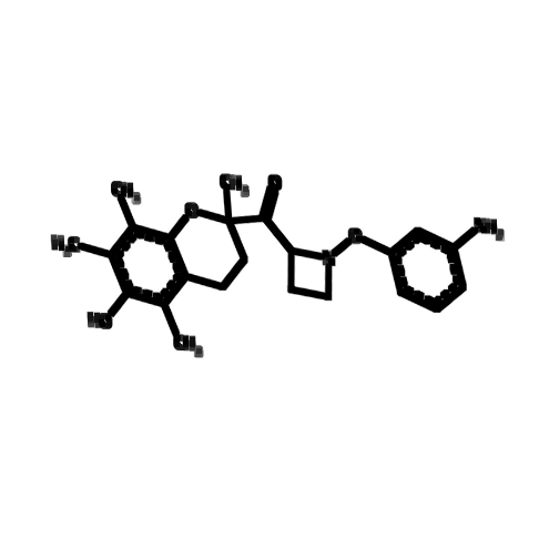 Cc1c(C)c2c(c(C)c1O)CCC(C)(C(=O)C1CCN1Oc1cccc(N)c1)O2